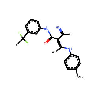 CCC(F)(F)c1cccc(NC(=O)/C(C(C)=N)=C(/Nc2ccc(OC)cc2)C(C)=O)c1